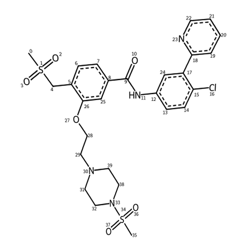 CS(=O)(=O)Cc1ccc(C(=O)Nc2ccc(Cl)c(-c3ccccn3)c2)cc1OCCN1CCN(S(C)(=O)=O)CC1